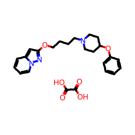 O=C(O)C(=O)O.c1ccc(OC2CCN(CCCCOc3cc4ccccn4n3)CC2)cc1